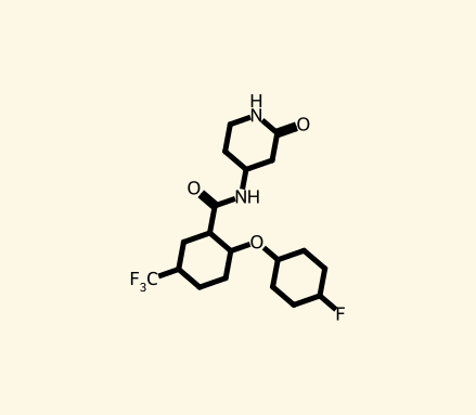 O=C1CC(NC(=O)C2CC(C(F)(F)F)CCC2OC2CCC(F)CC2)CCN1